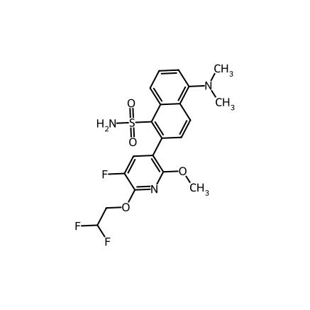 COc1nc(OCC(F)F)c(F)cc1-c1ccc2c(N(C)C)cccc2c1S(N)(=O)=O